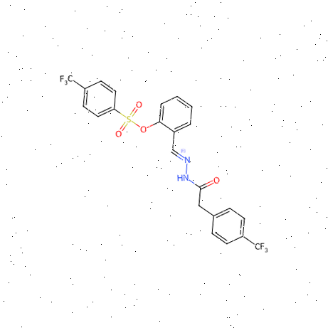 O=C(Cc1ccc(C(F)(F)F)cc1)N/N=C/c1ccccc1OS(=O)(=O)c1ccc(C(F)(F)F)cc1